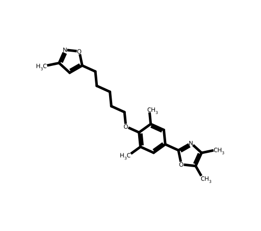 Cc1cc(CCCCCOc2c(C)cc(-c3nc(C)c(C)o3)cc2C)on1